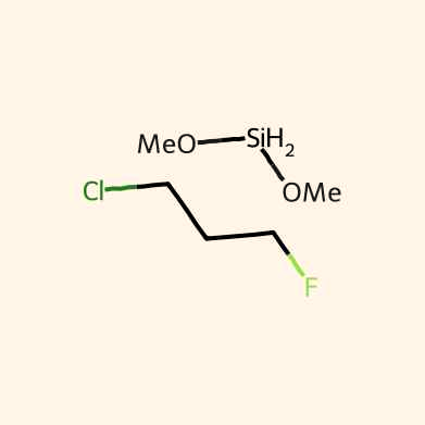 CO[SiH2]OC.FCCCCl